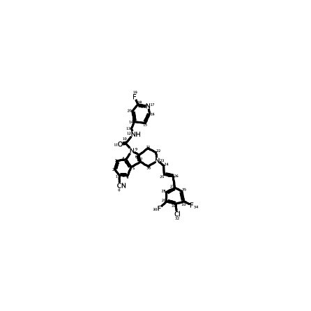 N#Cc1ccc2c(c1)c1c(n2C(=O)NCc2ccnc(F)c2)CCN(C/C=C/c2cc(F)c(Cl)c(F)c2)C1